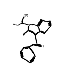 CCCC(OC(C)=O)n1c(C)c(C(=O)c2ccccc2)c2ccccc21